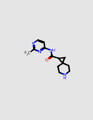 O=C(Nc1ccnc(C(F)(F)F)n1)C1CC12CCNCC2